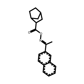 C/C(=N\OC(=O)C1CC2CCC1C2)c1ccc2ccccc2c1